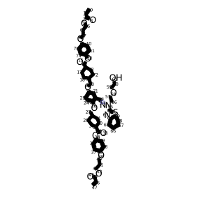 C=CC(=O)OCCCOc1ccc(OC(=O)C2CCC(COc3ccc(OCC4CCC(C(=O)Oc5ccc(OCCCOC(=O)C=C)cc5)CC4)c(/C=N/N(CCOCCO)c4nc5ccccc5s4)c3)CC2)cc1